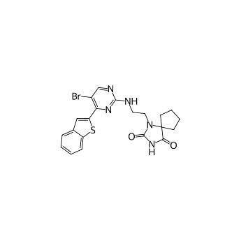 O=C1NC(=O)C2(CCCC2)N1CCNc1ncc(Br)c(-c2cc3ccccc3s2)n1